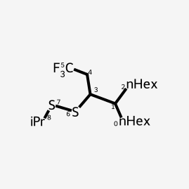 CCCCCCC(CCCCCC)C(CC(F)(F)F)SSC(C)C